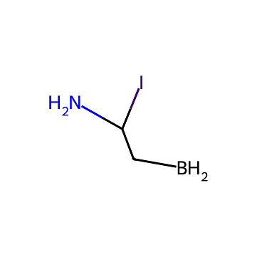 BCC(N)I